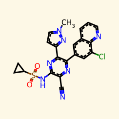 Cn1ccc(-c2nc(NS(=O)(=O)C3CC3)c(C#N)nc2-c2cc(Cl)c3ncccc3c2)n1